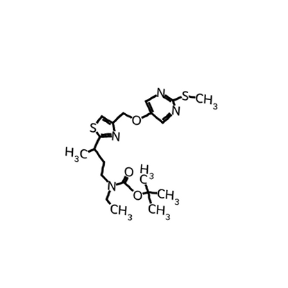 CCN(CCC(C)c1nc(COc2cnc(SC)nc2)cs1)C(=O)OC(C)(C)C